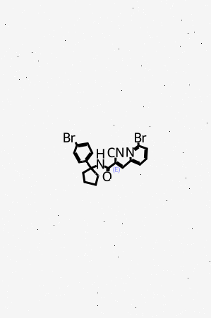 N#C/C(=C\c1cccc(Br)n1)C(=O)NC1(c2ccc(Br)cc2)CCCC1